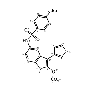 CC(C)(C)c1ccc(S(=O)(=O)Nc2cnc3[nH]c(OC(=O)O)c(-c4ccoc4)c3c2)cc1